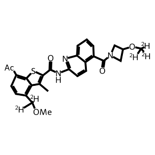 [2H]C([2H])([2H])OC1CN(C(=O)c2cccc3nc(NC(=O)c4sc5c(C(C)=O)ccc(C([2H])([2H])OC)c5c4C)ccc23)C1